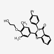 Cc1cc(-c2nc3ccccc3c(=O)n2-c2ccc(C(C)C)cc2)cc(C)c1OCCO